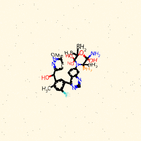 BC1(B)OC(N)(O)C(B)(P)N(c2ccc3c(-c4cc(C(O)c5ccc(OC)nn5)c(C)cc4F)ncnc3c2)C1(O)O